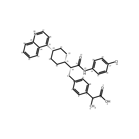 CC(C(=O)O)c1ccc(C[C@@H](C(=O)Nc2ccc(Cl)cc2)[C@H]2CC[C@@H](c3ccnc4ccccc43)CC2)cc1